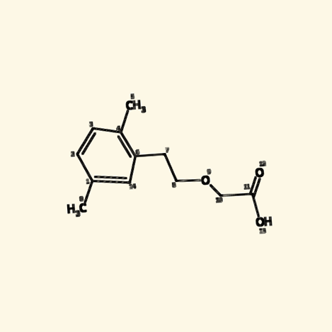 Cc1ccc(C)c(CCOCC(=O)O)c1